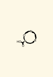 O=C(O)N1CCC=NC=CC=NC=COC1